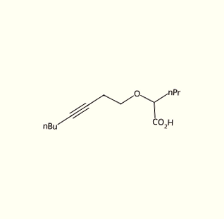 CCCCC#CCCOC(CCC)C(=O)O